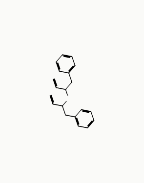 C=CC(Cc1ccccc1)SC(C=C)Cc1ccccc1